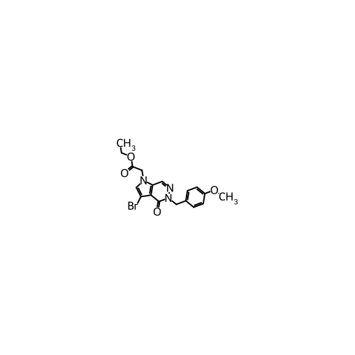 CCOC(=O)Cn1cc(Br)c2c(=O)n(Cc3ccc(OC)cc3)ncc21